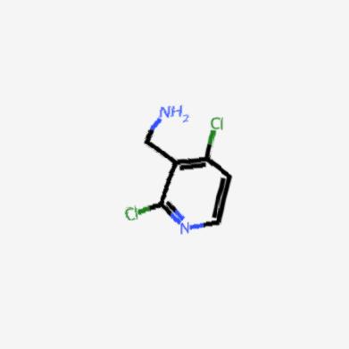 NCc1c(Cl)ccnc1Cl